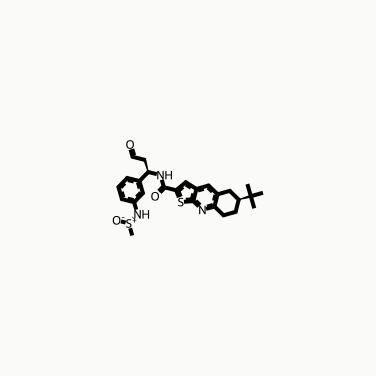 C[S+]([O-])Nc1cccc([C@@H](CC=O)NC(=O)c2cc3cc4c(nc3s2)CC[C@H](C(C)(C)C)C4)c1